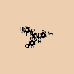 CC(C)Oc1ccc(Nc2ncc(NC(=O)c3cc[nH]c(=O)c3)c(=O)n2Cc2ccc(Cl)cc2)cc1F